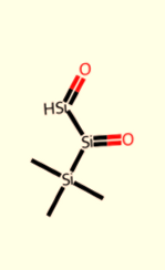 C[Si](C)(C)[Si](=O)[SiH]=O